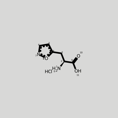 Cl.N[C@@H](Cc1ccno1)C(=O)O